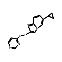 c1cc(OCc2cn3cc(C4CC4)ccc3n2)ncn1